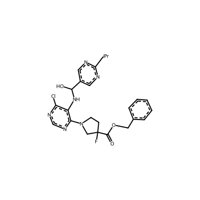 CC(C)c1ncc(C(O)Nc2c(Cl)ncnc2N2CCC(F)(C(=O)OCc3ccccc3)C2)cn1